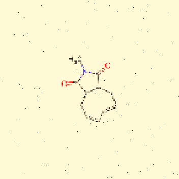 CN1C(=O)C2C/C=C\C=C\CC2C1=O